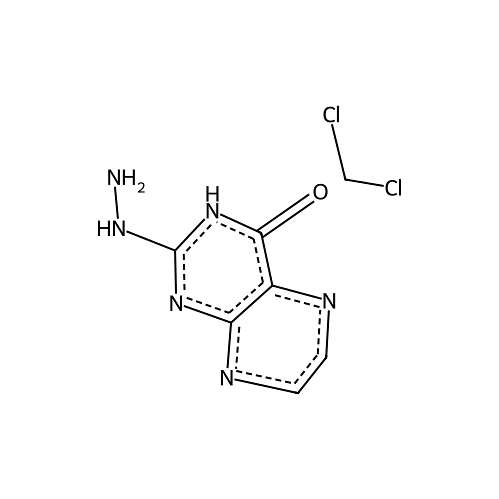 ClCCl.NNc1nc2nccnc2c(=O)[nH]1